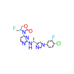 C[C@H](Nc1nccc(N2C(=O)OCC2CF)n1)c1cn(-c2ccc(Cl)c(F)c2)cn1